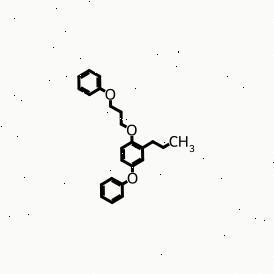 CCCc1cc(Oc2ccccc2)ccc1OCCCOc1ccccc1